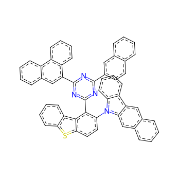 c1ccc2cc(-c3nc(-c4cc5ccccc5c5ccccc45)nc(-c4c(-n5c6ccccc6c6cc7ccccc7cc65)ccc5sc6ccccc6c45)n3)ccc2c1